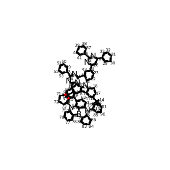 CC(C)(C)c1ccc2c(c1)c1cc(C(C)(C)C)ccc1n2-c1ccc(-c2cc(-c3ccccc3)nc(-c3ccccc3)n2)cc1-c1nc(-c2ccccc2)nc(-c2cccc(-c3ccc4c5c3N(c3ccccc3)c3ccccc3B5c3ccccc3N4c3ccccc3)c2)n1